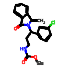 C=C1c2ccccc2C(=O)N1C(CCNC(=O)OC(C)(C)C)c1cccc(Cl)c1